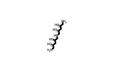 NC[C@@H](O)CC(O)CNC[C@@H](O)C[C@@H](O)CN